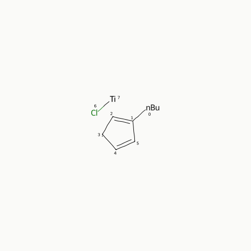 CCCCC1=C[CH]C=C1.[Cl][Ti]